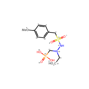 COc1ccc(CS(=O)(=O)NN(CC(=O)O)CP(=O)(O)O)cc1